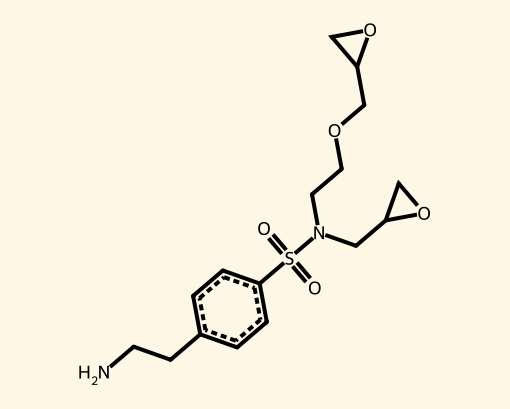 NCCc1ccc(S(=O)(=O)N(CCOCC2CO2)CC2CO2)cc1